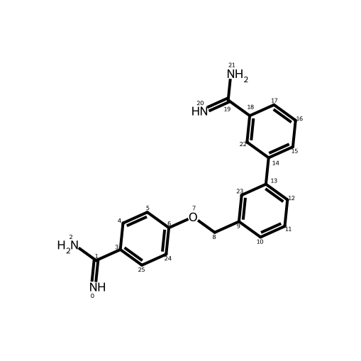 N=C(N)c1ccc(OCc2cccc(-c3cccc(C(=N)N)c3)c2)cc1